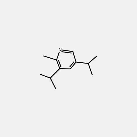 Cc1ncc(C(C)C)cc1C(C)C